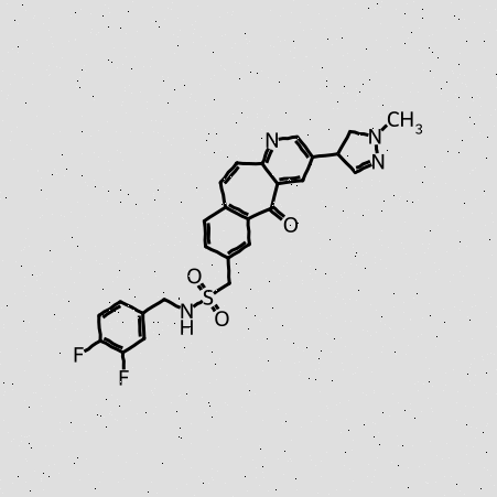 CN1CC(c2cnc3ccc4ccc(CS(=O)(=O)NCc5ccc(F)c(F)c5)cc4c(=O)c3c2)C=N1